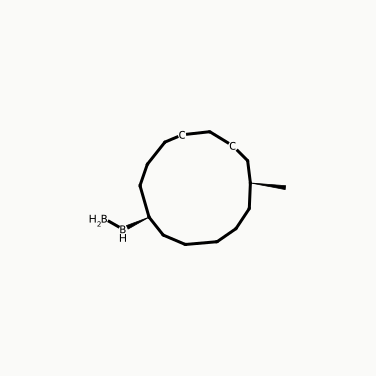 BB[C@H]1CCCCCCC[C@@H](C)CCCCC1